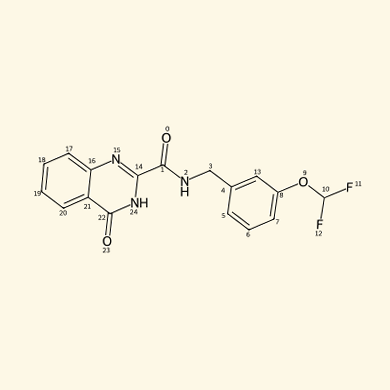 O=C(NCc1cccc(OC(F)F)c1)c1nc2ccccc2c(=O)[nH]1